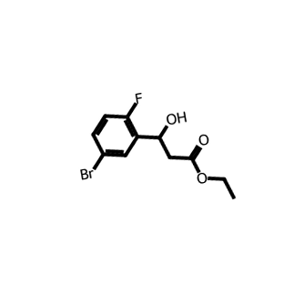 CCOC(=O)CC(O)c1cc(Br)ccc1F